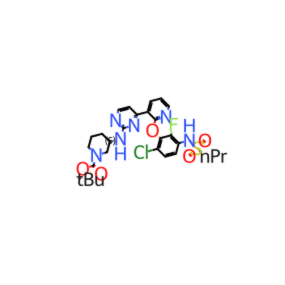 CCCS(=O)(=O)Nc1ccc(Cl)c(Oc2ncccc2-c2ccnc(N[C@H]3CCCN(C(=O)OC(C)(C)C)C3)n2)c1F